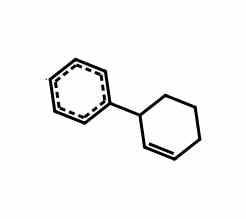 [c]1ccc(C2C=CCCC2)cc1